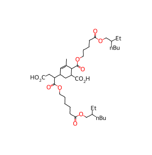 CCCCC(CC)COC(=O)CCCCCOC(=O)C(CC(=O)O)C1C=C(C)C(C(=O)OCCCCC(=O)OCC(CC)CCCC)C(C(=O)O)C1